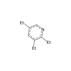 CCc1cnc(CC)c(CC)c1